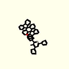 Cc1c(-c2ccccc2)cc(-c2ccccc2)nc1-c1ccc(-c2cccc3c2C2(c4ccccc4-c4ccccc42)c2ccccc2C32c3ccccc3-c3ccccc32)cc1